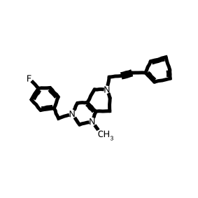 CN1CN(Cc2ccc(F)cc2)CC2=C1CCN(CC#Cc1ccccc1)C2